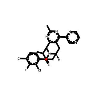 Cc1nc(-c2cnccn2)c2c(n1)C1C(C)CC[C@@H](C2)N1C(=O)c1ccc(Cl)c(F)c1Cl